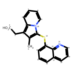 Cc1c(CC(=O)O)c2ccccn2c1Sc1cccc2cccnc12